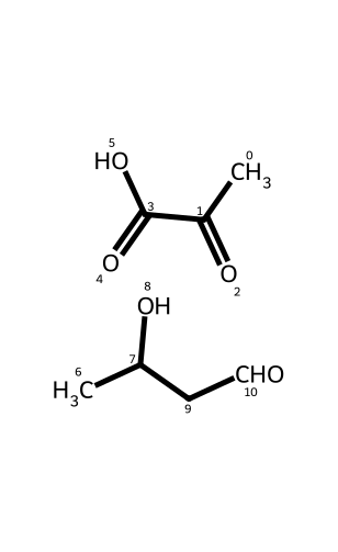 CC(=O)C(=O)O.CC(O)CC=O